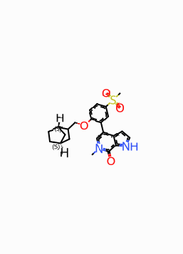 Cn1cc(-c2cc(S(C)(=O)=O)ccc2OCC2C[C@H]3CC[C@H]2C3)c2cc[nH]c2c1=O